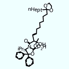 CCCCCCCC1(CCCCCCC=CC(C(=O)N2C(=S)OC(c3ccccc3)(c3ccccc3)[C@@H]2C(C)C)C(C)(O)C(=O)O)OCCO1